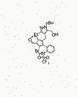 CCCCn1nc(CC)c(Cc2c3ccocc-3c(Br)c2-c2ccccc2NS(=O)(=O)C(F)(F)F)c1CO